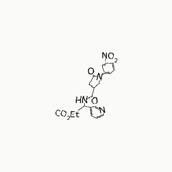 CCOC(=O)CC(NC(=O)C1CC(=O)N(c2cccc([N+](=O)[O-])c2)C1)c1cccnc1